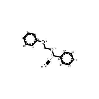 N#C[C@H](OCOc1ccccc1)c1ccccc1